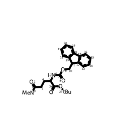 CNC(=O)CCC(NC(=O)OCC1c2ccccc2-c2ccccc21)C(=O)OC(C)(C)C